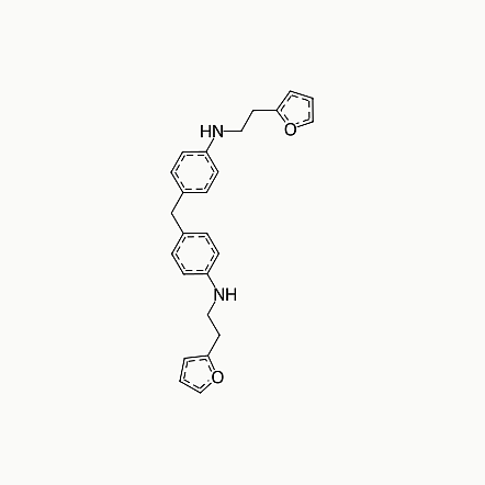 c1coc(CCNc2ccc(Cc3ccc(NCCc4ccco4)cc3)cc2)c1